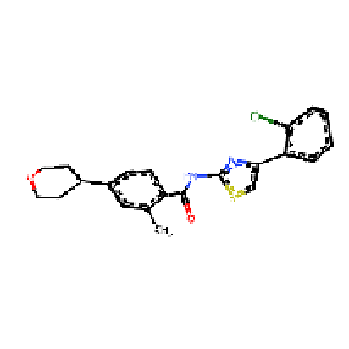 Cc1cc(C2CCOCC2)ccc1C(=O)Nc1nc(-c2ccccc2Cl)cs1